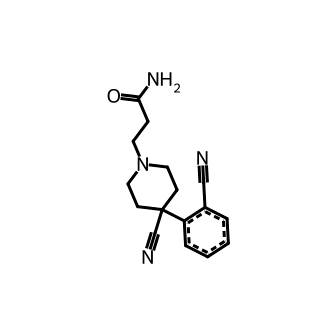 N#Cc1ccccc1C1(C#N)CCN(CCC(N)=O)CC1